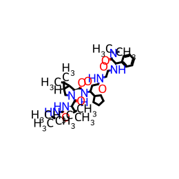 CN(C)C(=O)[C@@H](NC(=O)CNC(=O)C(=O)C(NC(=O)[C@@H]1C2[C@H](CN1C(=O)[C@@H](NC(=O)NC(C)(C)C)C(C)(C)C)C2(C)C)C1CCCC1)c1ccccc1